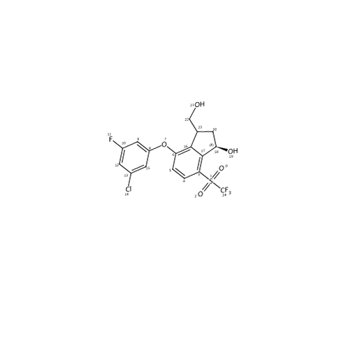 O=S(=O)(c1ccc(Oc2cc(F)cc(Cl)c2)c2c1[C@H](O)CC2CO)C(F)(F)F